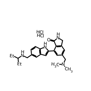 CCC(CC)NCc1ccc2[nH]c(-c3cc(CN(C)C)cc4c3C(=O)NC4)cc2c1.Cl.Cl